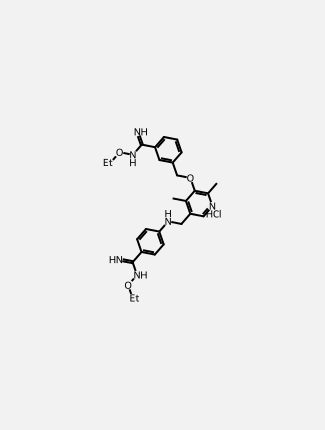 CCONC(=N)c1ccc(NCc2cnc(C)c(OCc3cccc(C(=N)NOCC)c3)c2C)cc1.Cl